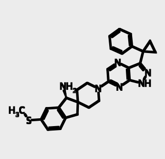 CSc1ccc2c(c1)[C@@H](N)C1(CCN(c3cnc4c(C5(c6ccccc6)CC5)n[nH]c4n3)CC1)C2